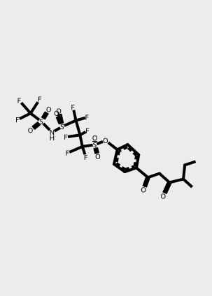 CCC(C)C(=O)CC(=O)c1ccc(OS(=O)(=O)C(F)(F)C(F)(F)C(F)(F)S(=O)(=O)NS(=O)(=O)C(F)(F)F)cc1